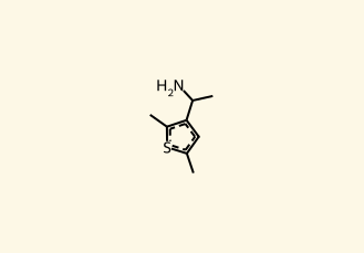 Cc1cc(C(C)N)c(C)s1